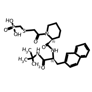 CC(C)(C)NC(=O)[C@H](Cc1ccc2ccccc2c1)NC(=O)[C@@H]1CCCCN1C(=O)CSCP(=O)(O)O